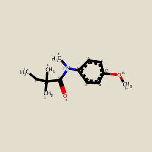 CCC(C)(C)C(=O)N(C)c1ccc(OC)cc1